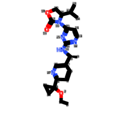 CCOC1(c2ccc([C@H](C)Nc3nccc(N4C(=O)OCC4C(C)C)n3)cn2)CC1